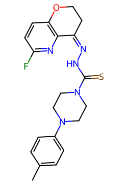 Cc1ccc(N2CCN(C(=S)N/N=C3/CCOc4ccc(F)nc43)CC2)cc1